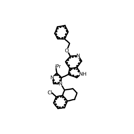 CC(C)c1ncn(C2CCCc3cccc(Cl)c32)c1-c1c[nH]c2cnc(OCc3ccccc3)cc12